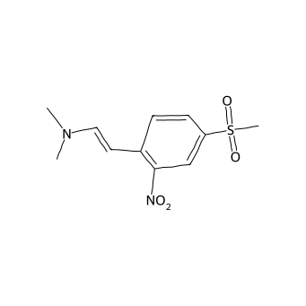 CN(C)C=Cc1ccc(S(C)(=O)=O)cc1[N+](=O)[O-]